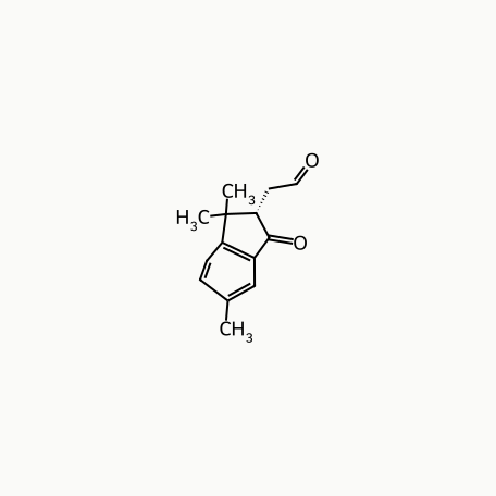 Cc1ccc2c(c1)C(=O)[C@@H](CC=O)C2(C)C